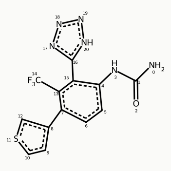 NC(=O)Nc1ccc(-c2ccsc2)c(C(F)(F)F)c1-c1nnn[nH]1